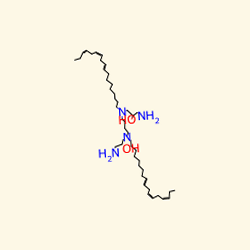 CC/C=C\C/C=C\C/C=C/CCCCCCCCN(CCCCN(CCCCCCCC/C=C/C/C=C\C/C=C\CC)CC(O)CN)CC(O)CN